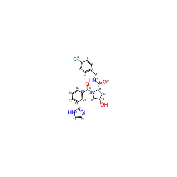 O=C(NCc1ccc(Cl)cc1)[C@@H]1C[C@@H](O)CN1C(=O)c1cccc(-c2ncc[nH]2)c1